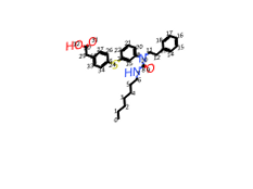 CCCCCCCNC(=O)N(CCc1ccccc1)c1cccc(Sc2ccc(CC(=O)O)cc2)c1